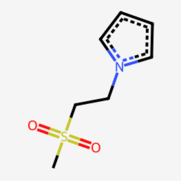 CS(=O)(=O)CCn1cccc1